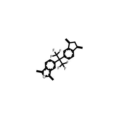 C=C1CC(=C)c2cc(C(c3ccc4c(=C)oc(=C)c4c3)(C(F)(F)F)C(F)(F)F)ccc21